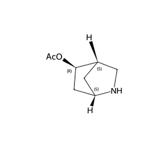 CC(=O)O[C@@H]1C[C@@H]2C[C@H]1CN2